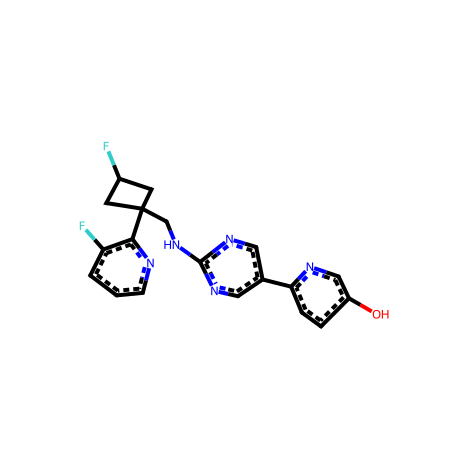 Oc1ccc(-c2cnc(NCC3(c4ncccc4F)CC(F)C3)nc2)nc1